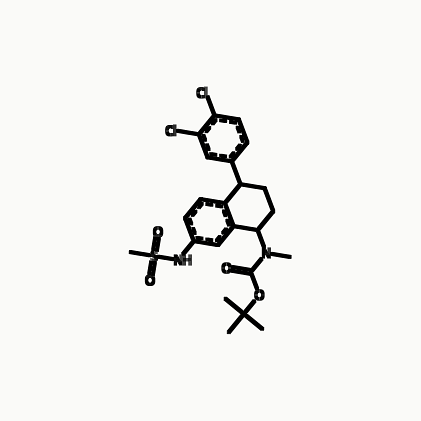 CN(C(=O)OC(C)(C)C)C1CCC(c2ccc(Cl)c(Cl)c2)c2ccc(NS(C)(=O)=O)cc21